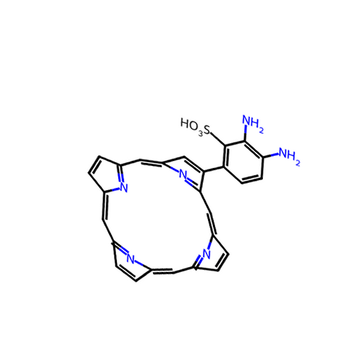 Nc1ccc(C2=CC3=CC4=NC(=CC5=NC(=CC6=NC(=CC2=N3)C=C6)C=C5)C=C4)c(S(=O)(=O)O)c1N